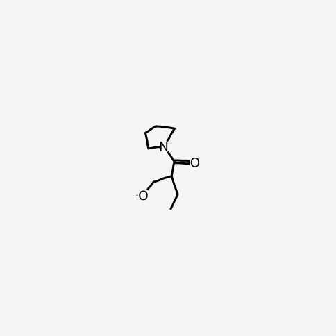 CCC(C[O])C(=O)N1CCCC1